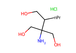 CCCC(CO)C(N)(CO)CO.Cl